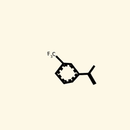 C=C(C)c1cccc(C(F)(F)F)c1